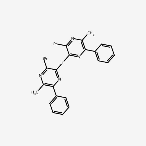 Cc1nc(C(C)C)[c]([Ir][c]2nc(-c3ccccc3)c(C)nc2C(C)C)nc1-c1ccccc1